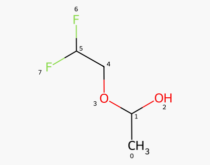 CC(O)OCC(F)F